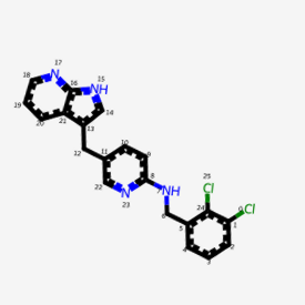 Clc1cccc(CNc2ccc(Cc3c[nH]c4ncccc34)cn2)c1Cl